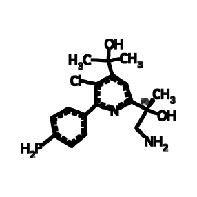 CC(C)(O)c1cc([C@](C)(O)CN)nc(-c2ccc(P)cc2)c1Cl